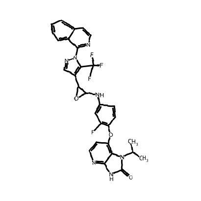 CC(C)n1c(=O)[nH]c2nccc(Oc3ccc(NC4OC4c4cnn(-c5nccc6ccccc56)c4C(F)(F)F)cc3F)c21